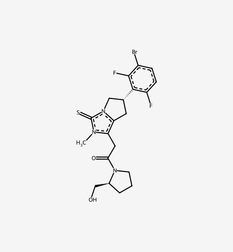 Cn1c(CC(=O)N2CCC[C@H]2CO)c2n(c1=S)C[C@H](c1c(F)ccc(Br)c1F)C2